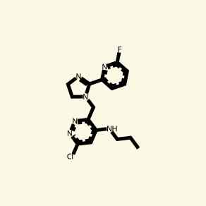 CCCNc1cc(Cl)nnc1CN1CCN=C1c1cccc(F)n1